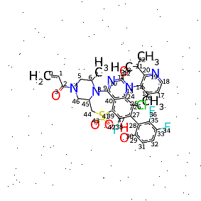 C=CC(=O)N1CC(C)N2c3nc(=O)n(-c4c(C)ccnc4C(C)C)c4c(Cl)c(-c5c(O)ccc(F)c5F)c(F)c(c34)S(=O)(=O)CC2C1